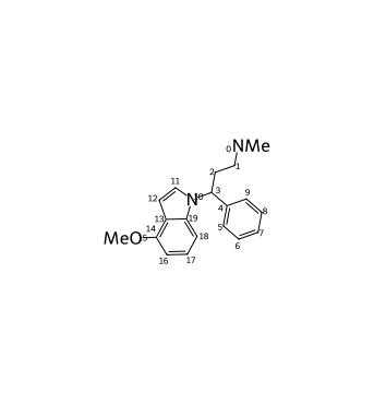 CNCCC(c1ccccc1)n1ccc2c(OC)cccc21